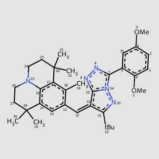 COc1ccc(OC)c(-c2nnc3/c(=C\c4cc5c6c(c4C)C(C)(C)CCN6CCC5(C)C)c(C(C)(C)C)nn23)c1